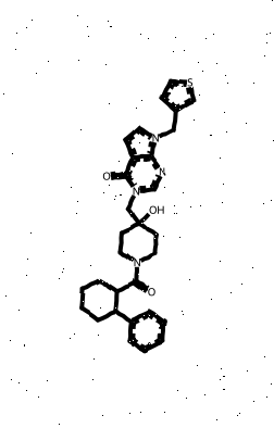 O=C(C1CCCCC1c1ccccc1)N1CCC(O)(Cn2cnc3c(ccn3Cc3ccsc3)c2=O)CC1